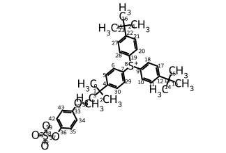 CC(C)(C)c1ccc([S+](c2ccc(C(C)(C)C)cc2)c2ccc(C(C)(C)C)cc2)cc1.COc1ccc(OS(=O)(=O)[O-])cc1